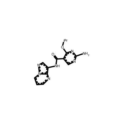 CC(C)Oc1nc(N)ncc1C(=O)Nc1cnn2cccnc12